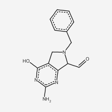 Nc1nc(O)c2c(n1)C(C=O)N(Cc1ccccc1)C2